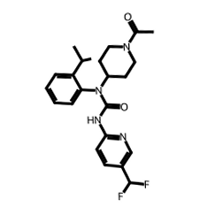 CC(=O)N1CCC(N(C(=O)Nc2ccc(C(F)F)cn2)c2ccccc2C(C)C)CC1